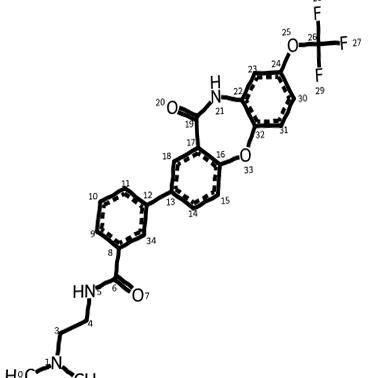 CN(C)CCNC(=O)c1cccc(-c2ccc3c(c2)C(=O)Nc2cc(OC(F)(F)F)ccc2O3)c1